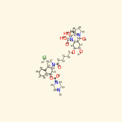 COc1cc2c(cc1OCCCCCC(=O)N1C[C@@H](CCl)c3c1cc(OC(=O)N1CCN(C)CC1)c1ccccc31)N(C(=O)O)C(O)[C@@H]1CCCN1C2=O